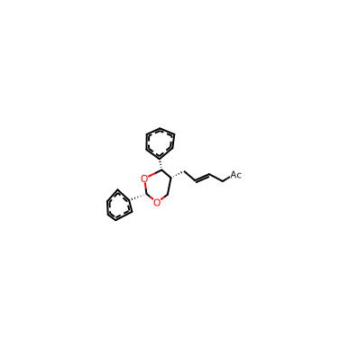 CC(=O)C/C=C/C[C@@H]1CO[C@H](c2ccccc2)O[C@@H]1c1ccccc1